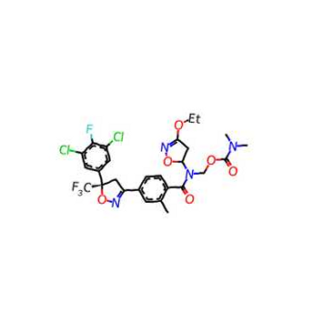 CCOC1=NOC(N(COC(=O)N(C)C)C(=O)c2ccc(C3=NO[C@@](c4cc(Cl)c(F)c(Cl)c4)(C(F)(F)F)C3)cc2C)C1